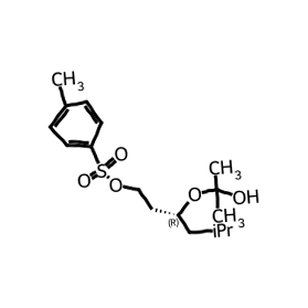 Cc1ccc(S(=O)(=O)OCC[C@@H](CC(C)C)OC(C)(C)O)cc1